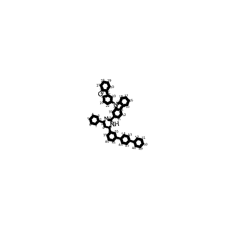 C1=C(c2ccccc2)N=C(c2ccc3c4ccccc4n(-c4ccc5oc6ccccc6c5c4)c3c2)NC1c1cccc(-c2ccc(-c3ccccc3)cc2)c1